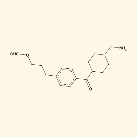 NCC1CCC(C(=O)c2ccc(CCCOC=O)cc2)CC1